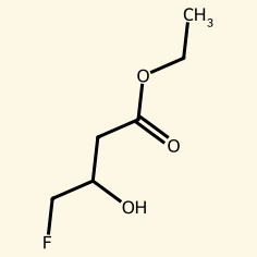 CCOC(=O)CC(O)CF